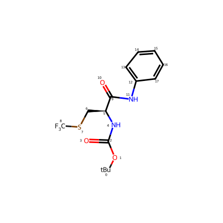 CC(C)(C)OC(=O)N[C@@H](CSC(F)(F)F)C(=O)Nc1ccccc1